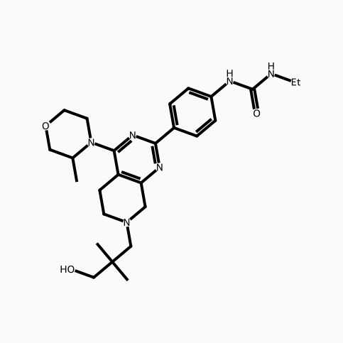 CCNC(=O)Nc1ccc(-c2nc3c(c(N4CCOCC4C)n2)CCN(CC(C)(C)CO)C3)cc1